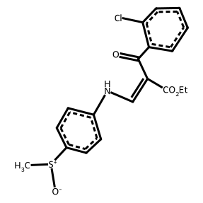 CCOC(=O)/C(=C/Nc1ccc([S+](C)[O-])cc1)C(=O)c1ccccc1Cl